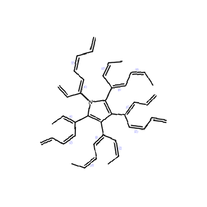 C=C/C=C\C=C(/C=C)n1c(C(/C=C\C=C)=C/C)c(C(/C=C\C)=C/C=C\C)c(C(/C=C\C=C)=C/C=C)c1C(/C=C\C)=C/C=C\C